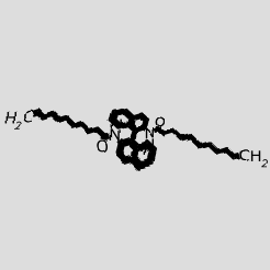 C=CCCCCCCCCC(=O)Nc1ccc2ccccc2c1-c1c(NC(=O)CCCCCCCCC=C)ccc2ccccc12